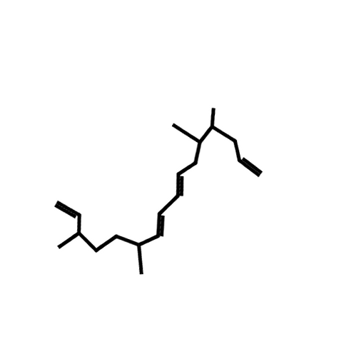 C=CCC(C)C(C)CC=CC=CC(C)CCC(C)C=C